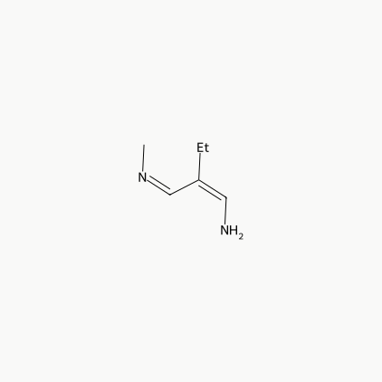 CCC(/C=N\C)=C/N